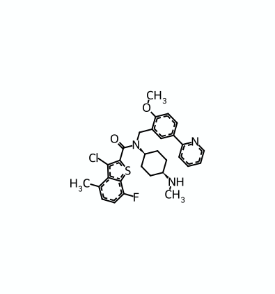 CN[C@H]1CC[C@@H](N(Cc2cc(-c3ccccn3)ccc2OC)C(=O)c2sc3c(F)ccc(C)c3c2Cl)CC1